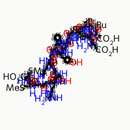 CC[C@H](C)[C@H](NC(=O)[C@H](CC(=O)O)NC(=O)[C@H](CC(C)C)NC(=O)[C@@H](N)CCC(=O)O)C(=O)N[C@@H](CC(C)C)C(=O)N[C@H](C(=O)N[C@H](C(=O)NCC(=O)NCC(=O)N[C@@H](Cc1ccc(O)cc1)C(=O)N[C@@H](Cc1c[nH]c2ccccc12)C(=O)NCC(=O)N[C@@H](CCCCN)C(=O)NCC(=O)N[C@@H](CO)C(=O)N[C@@H](CCCNC(=N)N)C(=O)NCC(=O)NCC(=O)N[C@@H](CCSC)C(=O)N[C@@H](CCSC)C(=O)O)C(C)C)[C@@H](C)CC